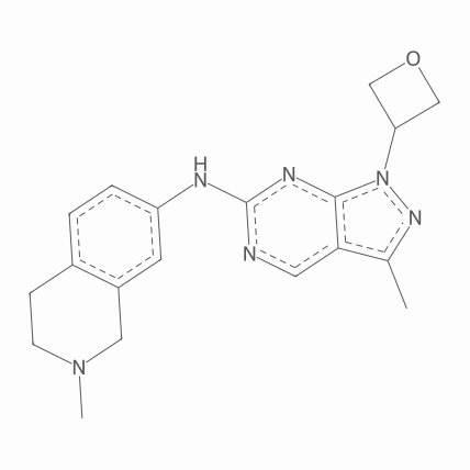 Cc1nn(C2COC2)c2nc(Nc3ccc4c(c3)CN(C)CC4)ncc12